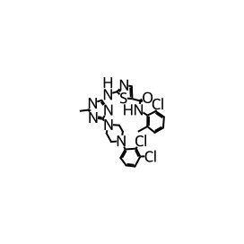 Cc1nc(Nc2ncc(C(=O)Nc3c(C)cccc3Cl)s2)nc(N2CCN(c3cccc(Cl)c3Cl)CC2)n1